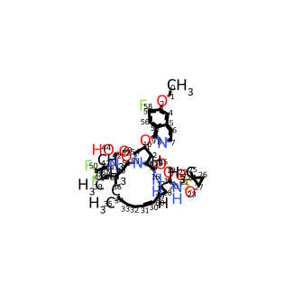 CCOc1cc2ccnc(O[C@@H]3C[C@H]4C(=O)N[C@]5(C(=O)NS(=O)(=O)C6(C)CC6)C[C@H]5C=CCC[C@H](C)C[C@@H](CC)[C@H](N(C(=O)O)C(C)(C)C(F)F)C(=O)N4C3)c2cc1F